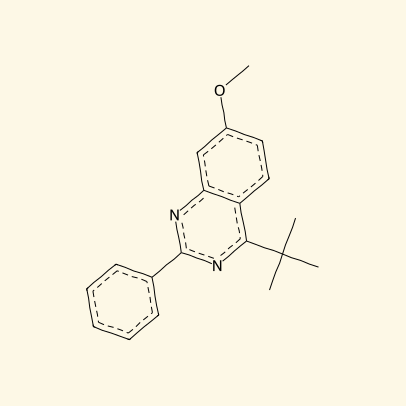 COc1ccc2c(C(C)(C)C)nc(-c3ccccc3)nc2c1